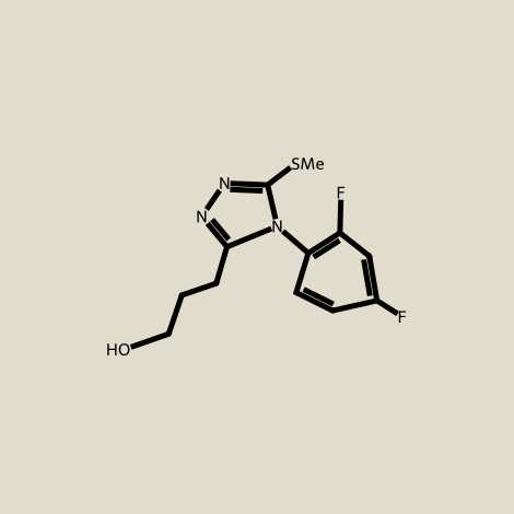 CSc1nnc(CCCO)n1-c1ccc(F)cc1F